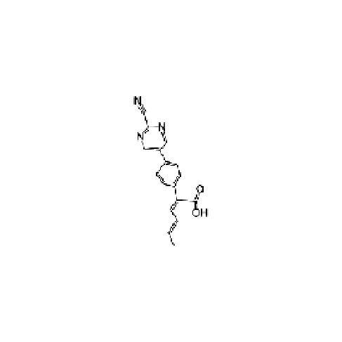 CC=CC=C(C(=O)O)c1ccc(-c2cnc(C#N)nc2)cc1